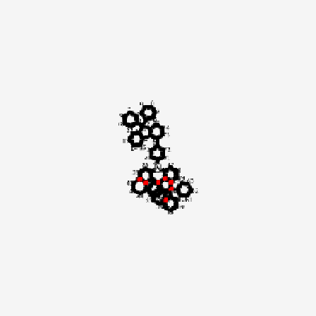 c1ccc(C2(c3ccccc3)c3ccccc3-c3c(-c4ccc(N(c5ccccc5-c5cccc6cccc(C7CCCCC7)c56)c5cccc6c5-c5ccccc5C6(c5ccccc5)c5ccccc5)cc4)cccc32)cc1